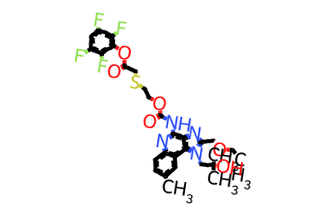 CCOCc1nc2c(NC(=O)OCCSCC(=O)Oc3c(F)c(F)cc(F)c3F)nc3ccc(C)cc3c2n1CC(C)(C)O